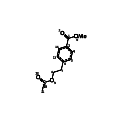 COC(=O)c1ccc(CCOS(C)=O)cc1